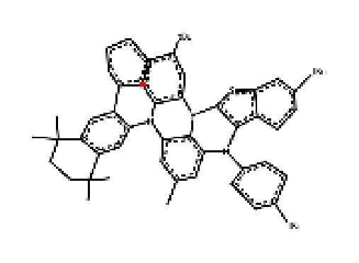 Cc1cc2c3c(c1)N(c1ccc(C(C)(C)C)cc1)c1c(sc4cc(C(C)(C)C)ccc14)B3c1cc(C(C)(C)C)ccc1N2c1cc2c(cc1-c1ccccc1)C(C)(C)CCC2(C)C